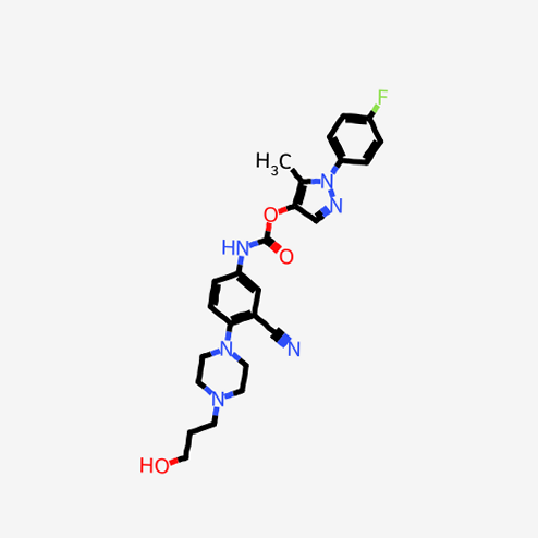 Cc1c(OC(=O)Nc2ccc(N3CCN(CCCO)CC3)c(C#N)c2)cnn1-c1ccc(F)cc1